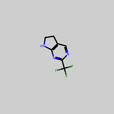 FC(F)(F)c1ncc2c(n1)NCC2